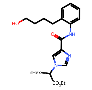 CCCCCCC(C(=O)OCC)n1cnc(C(=O)Nc2ccccc2CCCCO)c1